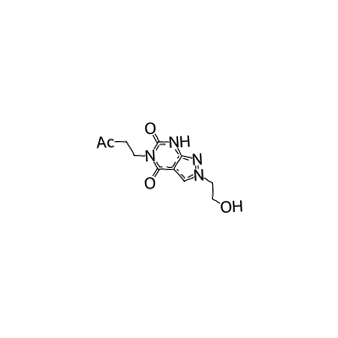 CC(=O)CCn1c(=O)[nH]c2nn(CCO)cc2c1=O